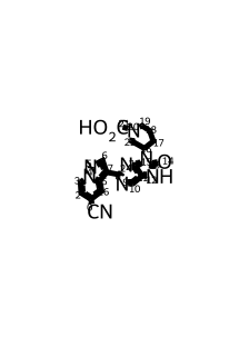 N#Cc1ccn2ncc(-c3ncc4[nH]c(=O)n(C5CCCN(C(=O)O)C5)c4n3)c2c1